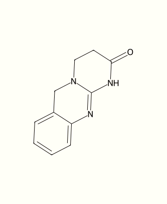 O=C1CCN2Cc3ccccc3N=C2N1